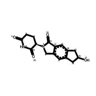 O=C1CC[C@@H](N2Cc3cc4c(cc3C2=O)CC(O)C4)C(=O)N1